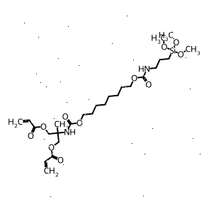 C=CC(=O)OCC(C)(COC(=O)C=C)NC(=O)OCCCCCCCCOC(=O)NCCC[Si](OC)(OC)OC